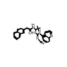 CC(C)(C)C(NC(=O)Cc1ccc2ccccc2c1)N/C(=N/C#N)Nc1cccc2ncccc12